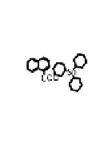 C1CC[CH]([Sn+]([CH]2CCCCC2)[CH]2CCCCC2)CC1.O=C([O-])c1cccc2ccccc12